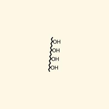 CCC(O)CCCC(O)CCCC(O)CCCC(O)CC